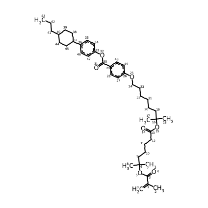 C=C(C)C(=O)OC(C)(C)CCCCC(=O)OC(C)(C)CCCCCCOc1ccc(C(=O)Oc2ccc(C3CCC(CCC)CC3)cc2)cc1